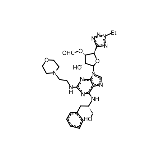 CCn1nnc([C@H]2O[C@@H](n3cnc4c(N[C@H](CO)Cc5ccccc5)nc(NCCN5CCOCC5)nc43)[C@H](O)[C@@H]2OC=O)n1